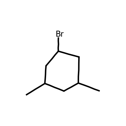 CC1CC(C)CC(Br)C1